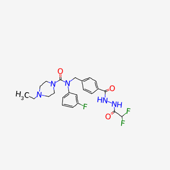 CCN1CCN(C(=O)N(Cc2ccc(C(=O)NNC(=O)C(F)F)cc2)c2cccc(F)c2)CC1